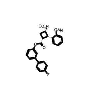 COc1ccccc1[C@H]1[C@@H](C(=O)O)C[C@H]1C(=O)Oc1cccc(-c2ccc(F)cc2)c1